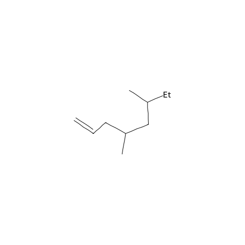 C=CCC(C)CC(C)CC